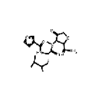 CC(C)C(C)C[C@H](NC(=O)c1ccoc1)C(=O)N(C)C1C(=O)COC1C(N)=O